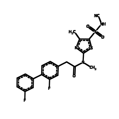 Cc1nc(N(C)C(=O)Cc2ccc(-c3cccc(F)c3)c(F)c2)sc1S(=O)(=O)NC#N